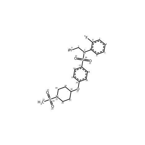 CC(C)CN(c1ccccc1F)S(=O)(=O)c1ccc(OC2CCN(S(C)(=O)=O)CC2)cc1